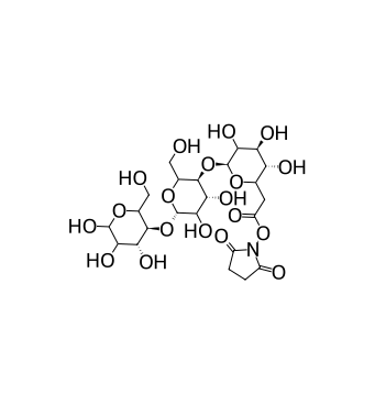 O=C(CC1O[C@@H](O[C@@H]2C(CO)O[C@@H](O[C@@H]3C(CO)OC(O)C(O)[C@H]3O)C(O)[C@H]2O)C(O)[C@@H](O)[C@@H]1O)ON1C(=O)CCC1=O